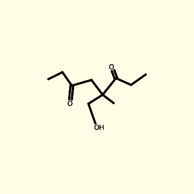 CCC(=O)CC(C)(CO)C(=O)CC